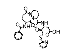 O=C(O)C[C@H](NC(=O)[C@@H]1CCCN2C(=O)CC[C@H](NC(=O)c3ccccc3)C(=O)N12)C(=O)CSc1nccs1